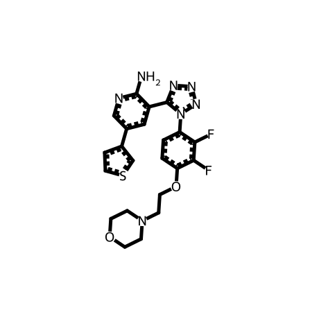 Nc1ncc(-c2ccsc2)cc1-c1nnnn1-c1ccc(OCCN2CCOCC2)c(F)c1F